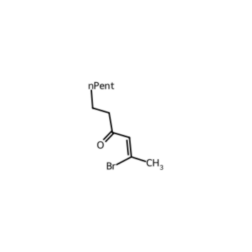 CCCCCCCC(=O)/C=C(/C)Br